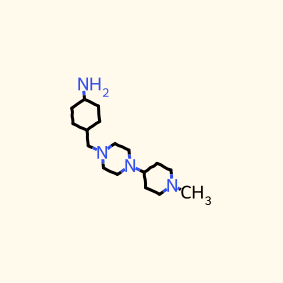 CN1CCC(N2CCN(CC3CCC(N)CC3)CC2)CC1